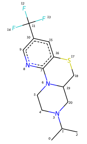 CC(C)N1CCN2c3ncc(C(F)(F)F)cc3SCC2C1